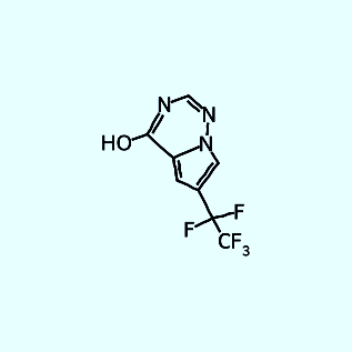 Oc1ncnn2cc(C(F)(F)C(F)(F)F)cc12